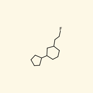 FCCC1CCCC(C2CCCC2)C1